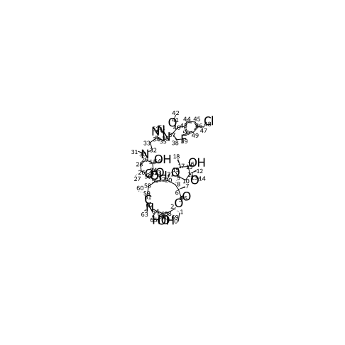 CC[C@H]1OC(=O)[C@H](C)C([C@H]2C[C@@](C)(OC)[C@@H](O)[C@H](C)O2)[C@H](C)[C@@H](O[C@@H]2O[C@H](C)C[C@H](N(C)CCc3cn([C@H](CF)[C@H](OC)c4ccc(CCl)cc4)nn3)[C@H]2O)[C@](C)(O)C[C@@H](C)CN(C)[C@H](C)[C@@H](O)[C@]1(C)O